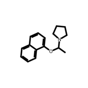 CC(Oc1cccc2ccccc12)N1CCCC1